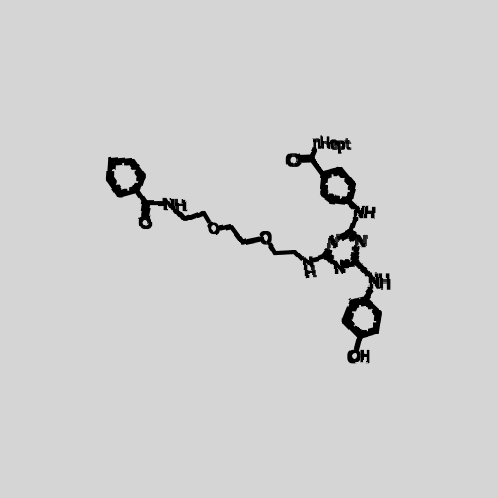 CCCCCCCC(=O)c1ccc(Nc2nc(NCCOCCOCCNC(=O)c3ccccc3)nc(Nc3ccc(O)cc3)n2)cc1